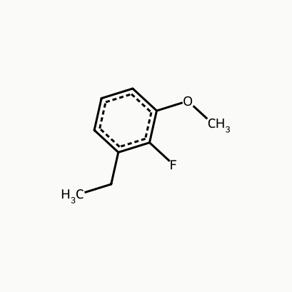 CCc1cccc(OC)c1F